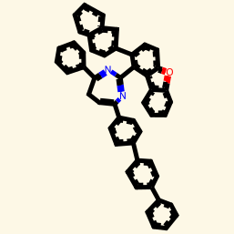 C1=C(c2ccc(-c3ccc(-c4ccccc4)cc3)cc2)N=C(c2c(-c3ccc4ccccc4c3)ccc3oc4ccccc4c23)N=C(c2ccccc2)C1